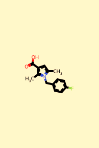 Cc1cc(C(=O)O)c(C)n1Cc1ccc(F)cc1